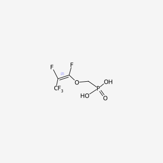 O=P(O)(O)CO/C(F)=C(/F)C(F)(F)F